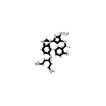 C[C@@H](Oc1cc(-n2cnc3ccc(OC(CCO)CCO)cc32)sc1C(=O)O)c1ccccc1Cl